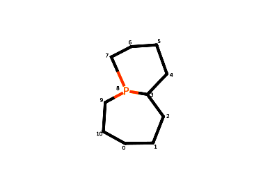 C1CCC2CCCCP2CC1